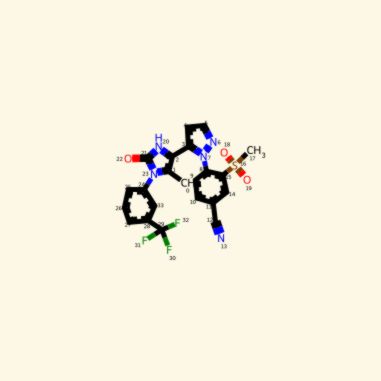 Cc1c(-c2ccnn2-c2ccc(C#N)cc2S(C)(=O)=O)[nH]c(=O)n1-c1cccc(C(F)(F)F)c1